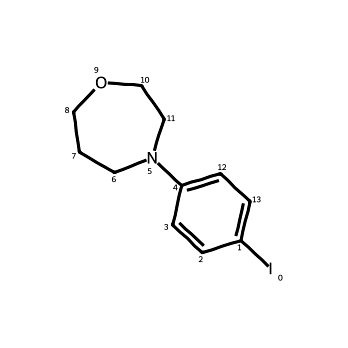 Ic1ccc(N2CCCOCC2)cc1